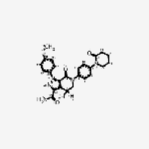 [2H]C1([2H])CN(c2ccc(N3CCCCC3=O)cc2)C(=O)c2c1c(C(N)=O)nn2-c1ccc(OC)cc1